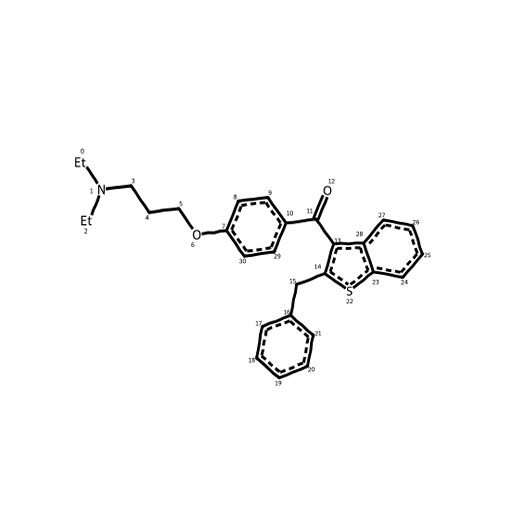 CCN(CC)CCCOc1ccc(C(=O)c2c(Cc3ccccc3)sc3ccccc23)cc1